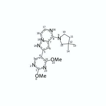 COc1ncc(-c2cc3c(N4CCC(C)(C)C4)nccn3n2)c(OC)n1